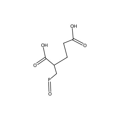 O=PCC(CCC(=O)O)C(=O)O